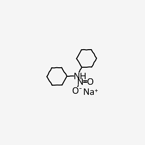 C1CCC(NC2CCCCC2)CC1.O=N[O-].[Na+]